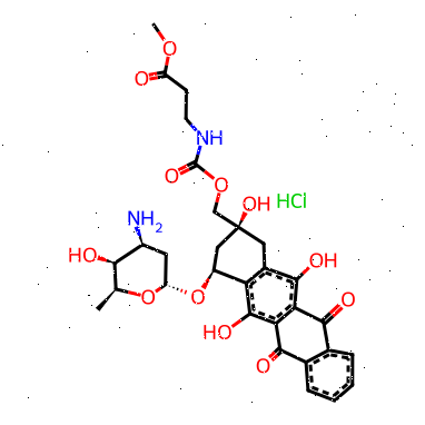 COC(=O)CCNC(=O)OC[C@]1(O)Cc2c(O)c3c(c(O)c2[C@@H](O[C@H]2C[C@H](N)[C@H](O)[C@H](C)O2)C1)C(=O)c1ccccc1C3=O.Cl